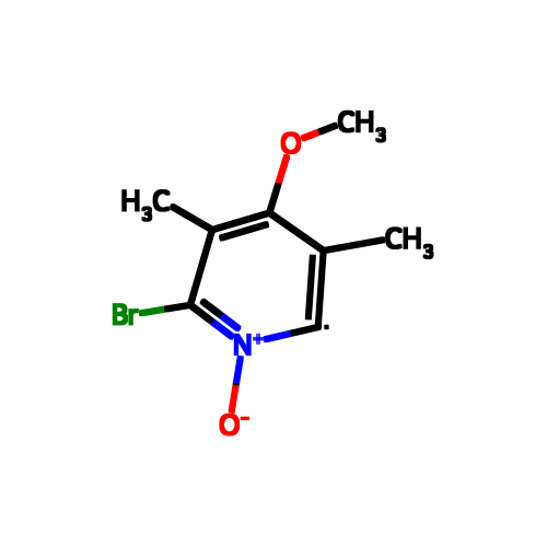 COc1c(C)[c][n+]([O-])c(Br)c1C